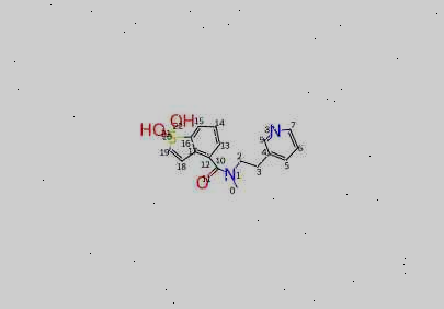 CN(CCc1cccnc1)C(=O)c1cccc2c1C=CS2(O)O